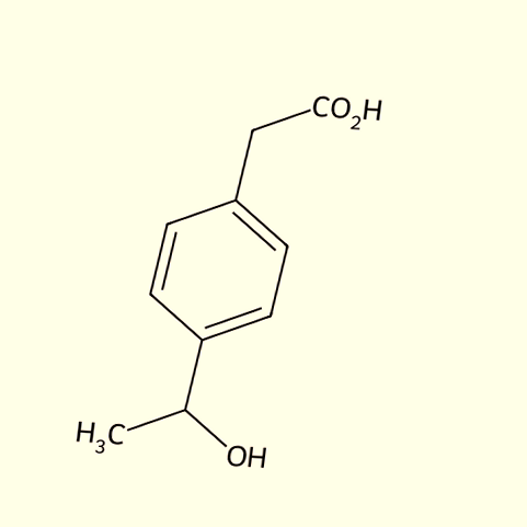 CC(O)c1ccc(CC(=O)O)cc1